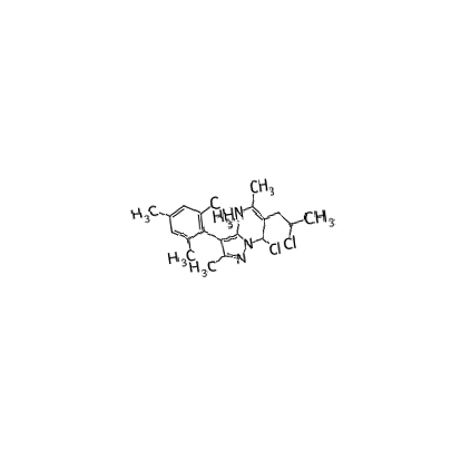 CC1=C(CC(C)Cl)C(Cl)n2nc(C)c(-c3c(C)cc(C)cc3C)c2N1